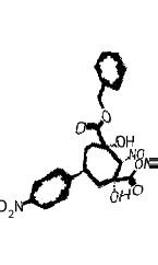 COC(=O)[C@@]1(O)C[C@@H](c2ccc([N+](=O)[O-])cc2)C[C@@](O)(C(=O)OCc2ccccc2)[C@@H]1[N+](=O)[O-]